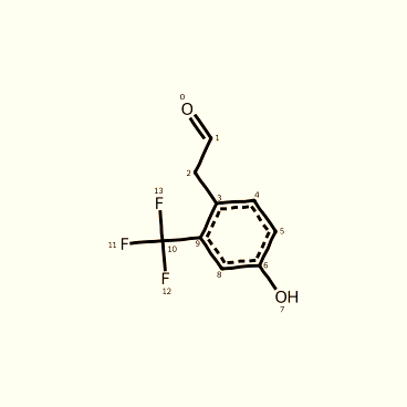 O=CCc1ccc(O)cc1C(F)(F)F